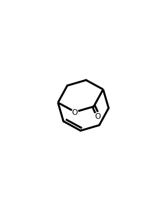 O=C1OC2C=CCCC1CC2